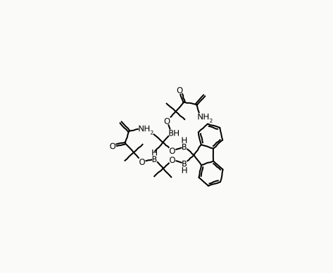 C=C(N)C(=O)C(C)(C)OBC(C)(C)OBC1(BOC(C)(C)BOC(C)(C)C(=O)C(=C)N)c2ccccc2-c2ccccc21